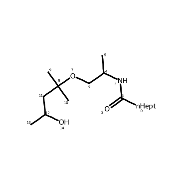 CCCCCCCC(=O)NC(C)COC(C)(C)CC(C)O